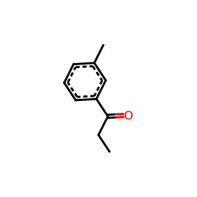 CCC(=O)c1cccc(C)c1